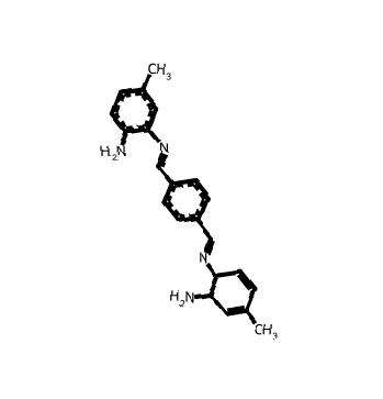 CC1=CC(N)C(/N=C/c2ccc(/C=N/c3cc(C)ccc3N)cc2)C=C1